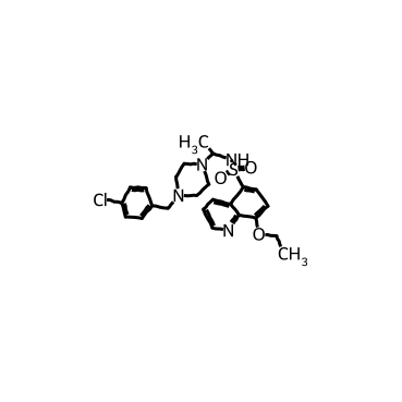 CCOc1ccc(S(=O)(=O)NC(C)N2CCN(Cc3ccc(Cl)cc3)CC2)c2cccnc12